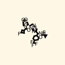 O=C(N[C@H](c1cn2ncc([C@H]3CS(=O)(=O)CCN3C(=O)C34CC(F)(C3)C4)nc2n1)C1CCC(C(F)(F)F)CC1)C1(F)CC1